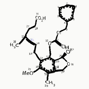 C=C(OCc1ccccc1)Oc1c(C/C=C(\C)CCC(=O)O)c(OC)c(C)c2c1C(=O)OC2